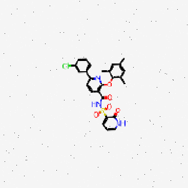 Cc1cc(C)c(Oc2nc(-c3cccc(Cl)c3)ccc2C(=O)NS(=O)(=O)c2ccc[nH]c2=O)c(C)c1